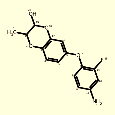 CC1Oc2ccc(Oc3ccc(N)cc3F)cc2OC1O